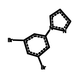 Brc1cc(Br)cc(-n2cccn2)c1